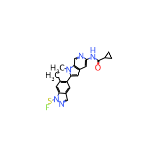 Cc1cc2c(cnn2SF)cc1-c1cc2cc(NC(=O)C3CC3)ncc2n1C